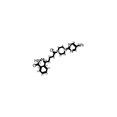 CC(C)c1cnc(N2CCN(C(=O)CCCc3n[nH]c(=O)c4ccccc34)CC2)nc1